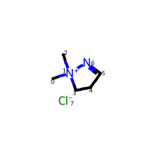 C[N+]1(C)CCC=N1.[Cl-]